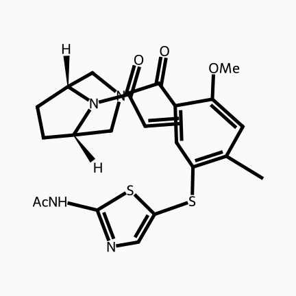 C=CC(=O)N1[C@@H]2CC[C@H]1CN(C(=O)c1cc(Sc3cnc(NC(C)=O)s3)c(C)cc1OC)C2